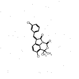 CC1(C)OC(=O)N2C(=O)C(=Cc3cccc(Cl)c3)c3ccc(Cl)c1c32